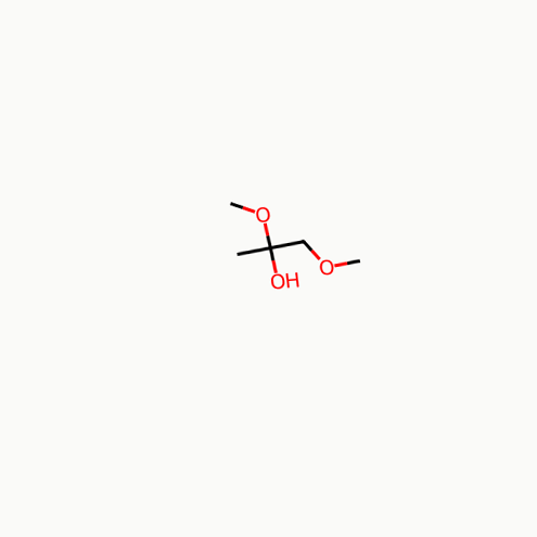 COCC(C)(O)OC